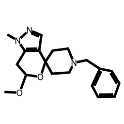 COC1Cc2c(cnn2C)C2(CCN(Cc3ccccc3)CC2)O1